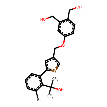 CCc1cccc(-c2cc(COc3ccc(CO)c(CO)c3)cs2)c1C(O)(C(F)(F)F)C(F)(F)F